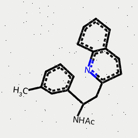 CC(=O)NC(Cc1ccc2ccccc2n1)c1cccc(C)c1